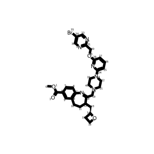 COC(=O)c1ccc2c(c1)CCC(C[C@@H]1CCO1)C(CN1CCN(c3cccc(OCc4ncc(Br)cn4)n3)CC1)=N2